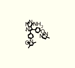 CC1=CC(C)N(c2ccc(-c3c(-c4ccc(Oc5nccc(C)n5)cc4)c4c(N)ncnc4n3C)cc2)C1=O